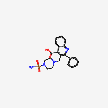 NS(=O)(=O)N1CCN(Cc2c(-c3ccccc3)nc3ccccc3c2C(=O)O)CC1